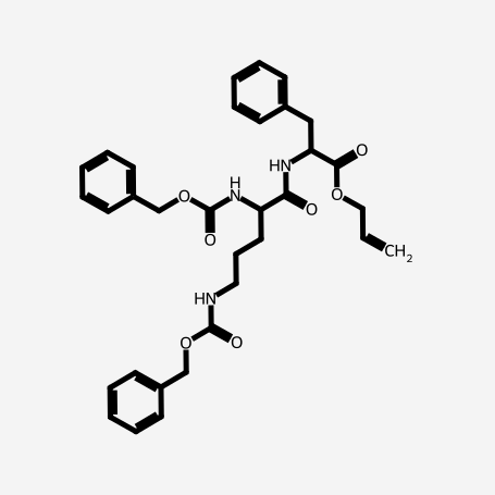 C=CCOC(=O)C(Cc1ccccc1)NC(=O)C(CCCNC(=O)OCc1ccccc1)NC(=O)OCc1ccccc1